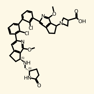 COc1nc(-c2cccc(-c3cccc(-c4cc5c(c(OC)n4)[C@@H](NC[C@@H]4CCC(=O)N4)CC5)c3Cl)c2Cl)cc2c1C(N1CC(C(=O)O)C1)CC2